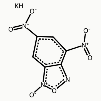 O=[N+]([O-])c1cc([N+](=O)[O-])c2no[n+]([O-])c2c1.[KH]